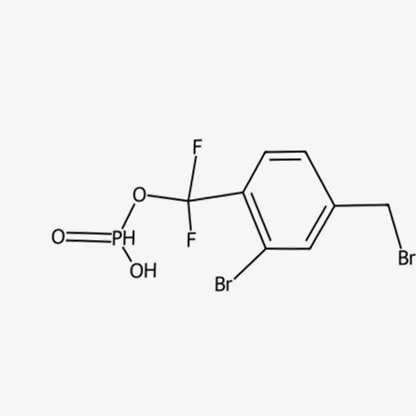 O=[PH](O)OC(F)(F)c1ccc(CBr)cc1Br